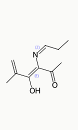 C=C(C)/C(O)=C(\N=C/CC)C(C)=O